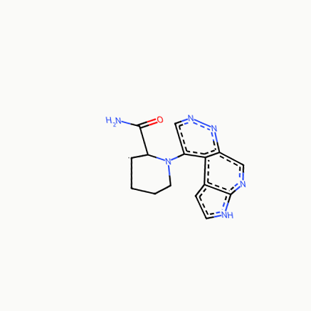 NC(=O)C1[CH]CCCN1c1cnnc2cnc3[nH]ccc3c12